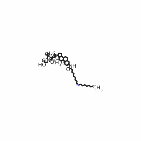 CCCCCCCC/C=C\CCCCCCCC(=O)N[C@H]1CC[C@@]2(C)C(CCC3C2CC[C@@]2(C)C3CC[C@@H]2C(C)CCC(=O)N(CC(=O)O)CC(=O)O)C1